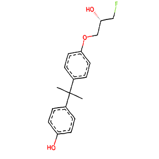 CC(C)(c1ccc(O)cc1)c1ccc(OC[C@H](O)CF)cc1